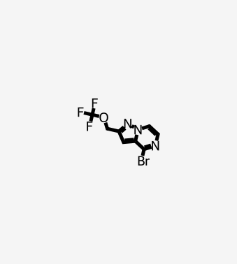 FC(F)(F)OCc1cc2c(Br)nccn2n1